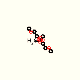 C=CCOC(Oc1ccccc1)(C(=O)Oc1ccc(-c2cccc(Oc3ccccc3)c2)cc1)c1ccc(-c2cccc(Oc3ccccc3)c2)cc1